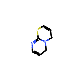 C1=CN=C2SC=CCN2C1